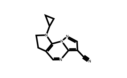 N#Cc1cnn2c3c(cnc12)CCN3C1CC1